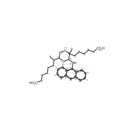 CC(CCCCCC(=O)O)C1OOC(C)(CCCCCC(=O)O)C(Nc2c3ccccc3cc3ccccc23)O1